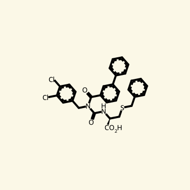 O=C(O)[C@H](CSCc1ccccc1)NC(=O)N(Cc1ccc(Cl)c(Cl)c1)C(=O)c1cccc(-c2ccccc2)c1